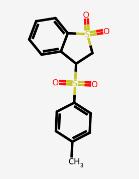 Cc1ccc(S(=O)(=O)C2CS(=O)(=O)c3ccccc32)cc1